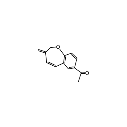 C=C1C=Cc2cc(C(C)=O)ccc2OC1